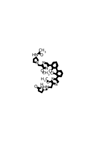 COc1nc(-c2cccc(-c3cccc(-c4cnc(CN5CC[C@H](NC(C)=O)C5)c(OC)n4)c3Cl)c2Cl)cnc1CNC[C@H]1CCC(=O)N1